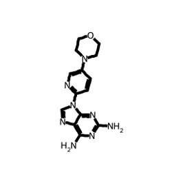 Nc1nc(N)c2ncn(-c3ccc(N4CCOCC4)cn3)c2n1